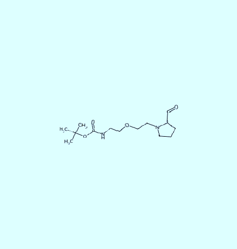 CC(C)(C)OC(=O)NCCOCCN1CCCC1C=O